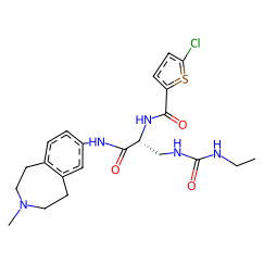 CCNC(=O)NC[C@@H](NC(=O)c1ccc(Cl)s1)C(=O)Nc1ccc2c(c1)CCN(C)CC2